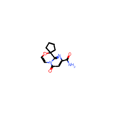 NC(=O)c1cc(=O)n2c(n1)C1(CCCC1)OC=C2